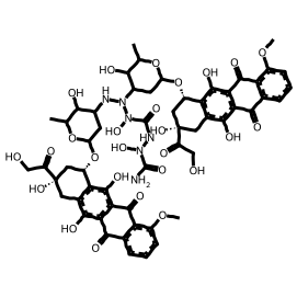 COc1cccc2c1C(=O)c1c(O)c3c(c(O)c1C2=O)C[C@@](O)(C(=O)CO)C[C@@H]3OC1CC(NN(C2CC(O[C@H]3C[C@](O)(C(=O)CO)Cc4c(O)c5c(c(O)c43)C(=O)c3c(OC)cccc3C5=O)OC(C)C2O)N(O)C(=O)NN(O)C(N)=O)C(O)C(C)O1